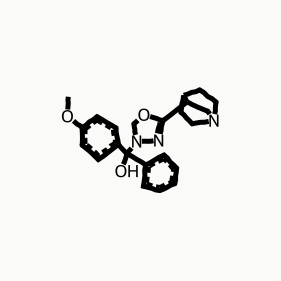 COc1ccc(C(O)(c2ccccc2)N2COC(C3CN4CCC3CC4)=N2)cc1